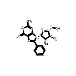 Nc1nc2c(nc(-c3ccccc3)n2[C@@H]2O[C@H](CO)[C@@H](O)[C@H]2O)c(=O)[nH]1